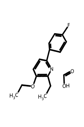 CCOc1ccc(-c2ccc(F)cc2)nc1CC.O=CO